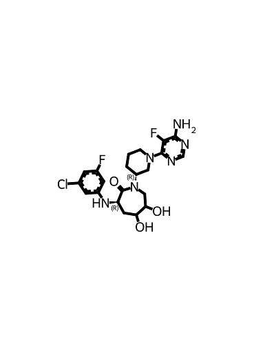 Nc1ncnc(N2CCC[C@@H](N3CC(O)C(O)C[C@@H](Nc4cc(F)cc(Cl)c4)C3=O)C2)c1F